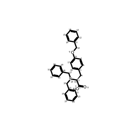 O=C(O)[C@H](Cc1ccc(OCc2ccccc2)cc1)N(Cc1ccccc1)Cc1ccccc1